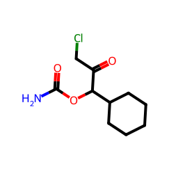 NC(=O)OC(C(=O)CCl)C1CCCCC1